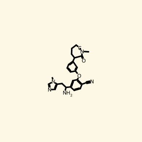 CN1CCCCC(c2cccc(Oc3cc(C(N)Cc4cncn4C)ccc3C#N)c2)C1=O